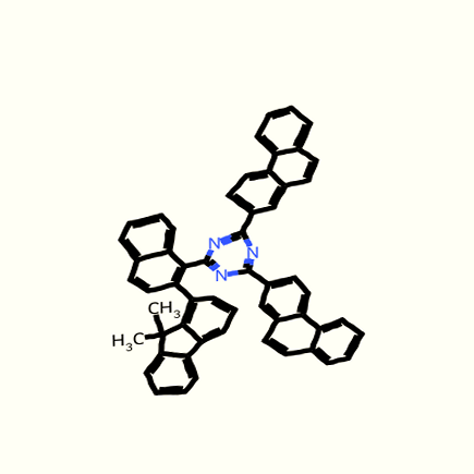 CC1(C)c2ccccc2-c2cccc(-c3ccc4ccccc4c3-c3nc(-c4ccc5c(ccc6ccccc65)c4)nc(-c4ccc5c(ccc6ccccc65)c4)n3)c21